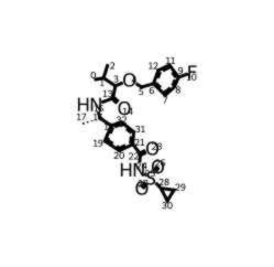 CC(C)C(OCc1ccc(F)cc1)C(=O)N[C@@H](C)c1ccc(C(=O)NS(=O)(=O)C2CC2)cc1